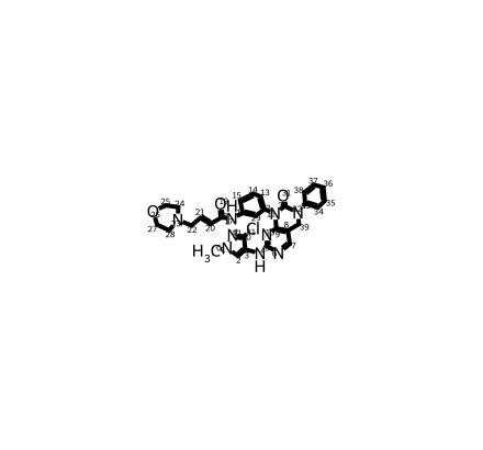 Cn1cc(Nc2ncc3c(n2)N(c2cccc(NC(=O)/C=C/CN4CCOCC4)c2)C(=O)N(c2ccccc2)C3)c(Cl)n1